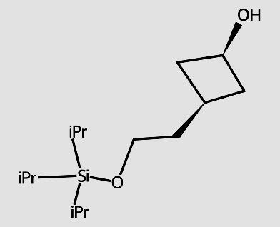 CC(C)[Si](OCC[C@H]1C[C@@H](O)C1)(C(C)C)C(C)C